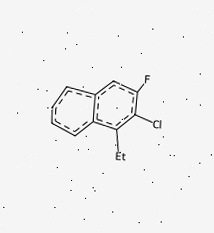 CCc1c(Cl)c(F)cc2ccccc12